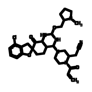 C=CC(=O)N1CCN(C2NC(OCC3CCCN3C)NC3C(=O)[C@@]4(CCC32)Cc2c(Cl)cccc2O4)CC1CC#N